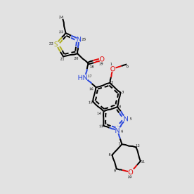 COc1cc2nn(C3CCOCC3)cc2cc1NC(=O)c1csc(C)n1